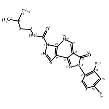 CC(C)CCNC(=O)n1ncc2c3nn(-c4ccc(F)cc4F)c(=O)c-3c[nH]c21